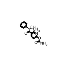 Cc1nc(OC(N)=O)ccc1C(=O)N(C)c1ccccc1